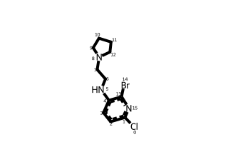 Clc1ccc(NCCN2CCCC2)c(Br)n1